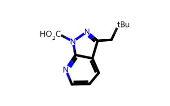 CC(C)(C)Cc1nn(C(=O)O)c2ncccc12